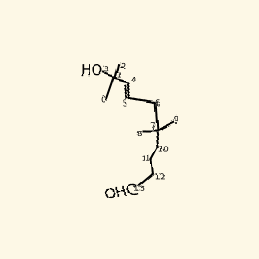 CC(C)(O)/C=C/CC(C)(C)CCCC=O